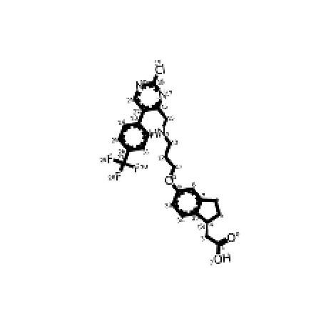 O=C(O)C[C@@H]1CCc2cc(OCCCNCc3nc(Cl)ncc3-c3ccc(C(F)(F)F)cc3)ccc21